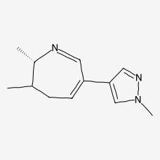 CC1CC=C(c2cnn(C)c2)C=N[C@H]1C